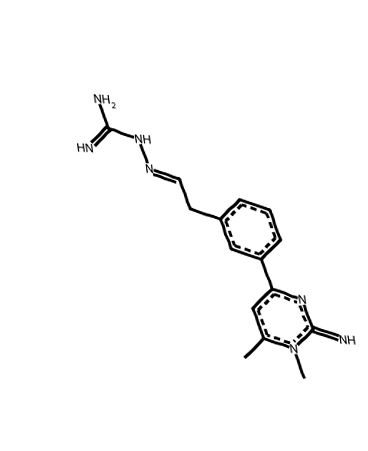 Cc1cc(-c2cccc(CC=NNC(=N)N)c2)nc(=N)n1C